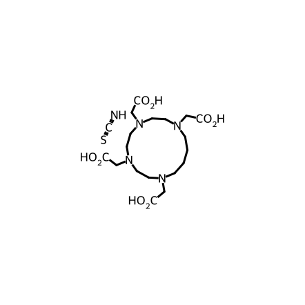 N=C=S.O=C(O)CN1CCCCN(CC(=O)O)CCN(CC(=O)O)CCN(CC(=O)O)CC1